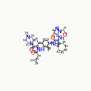 CCn1nccc1N(C=O)[C@H](C(=O)Nc1ccc([C@H](C)[C@@H](NC(=O)CC2CC2)C(=O)N2CCN(C)CC2)cc1F)C1CCCCCC1